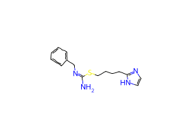 NC(=NCc1ccccc1)SCCCCc1ncc[nH]1